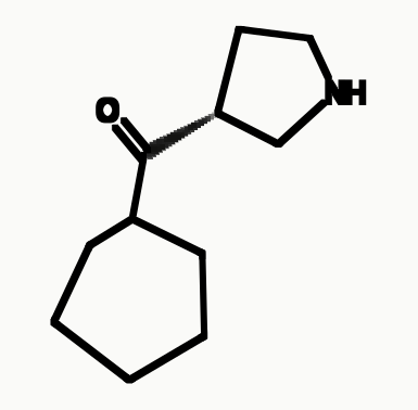 O=C(C1CCCCC1)[C@@H]1CCNC1